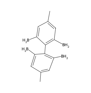 Bc1cc(C)cc(B)c1-c1c(B)cc(C)cc1B